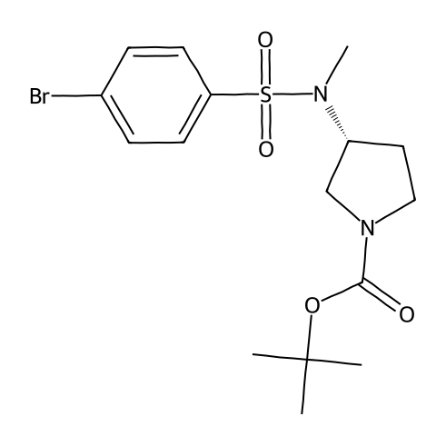 CN([C@@H]1CCN(C(=O)OC(C)(C)C)C1)S(=O)(=O)c1ccc(Br)cc1